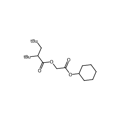 CC(C)(C)CC(C(=O)OCC(=O)OC1CCCCC1)C(C)(C)C